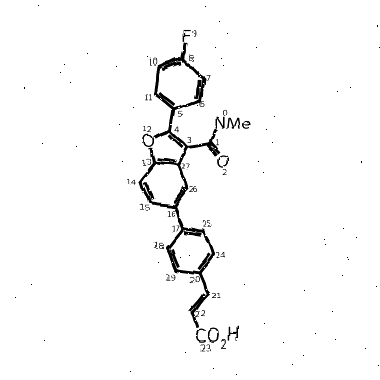 CNC(=O)c1c(-c2ccc(F)cc2)oc2ccc(-c3ccc(/C=C/C(=O)O)cc3)cc12